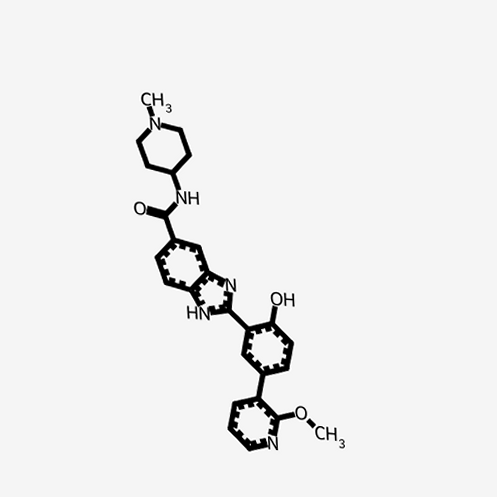 COc1ncccc1-c1ccc(O)c(-c2nc3cc(C(=O)NC4CCN(C)CC4)ccc3[nH]2)c1